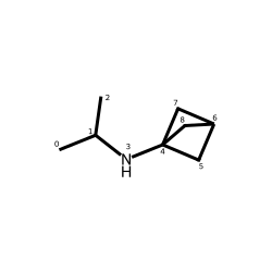 CC(C)NC12CC(C1)C2